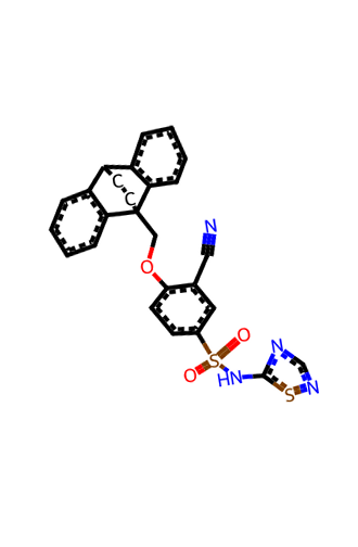 N#Cc1cc(S(=O)(=O)Nc2ncns2)ccc1OCC12CCC(c3ccccc31)c1ccccc12